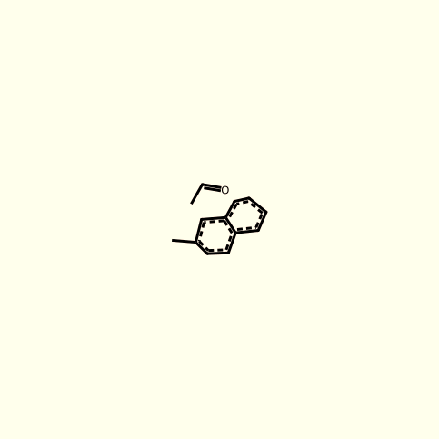 CC=O.Cc1ccc2ccccc2c1